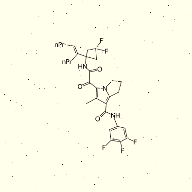 CCC/C=C(\CCC)C1(NC(=O)C(=O)c2c(C)c(C(=O)Nc3cc(F)c(F)c(F)c3)c3n2CCC3)CC(F)(F)C1